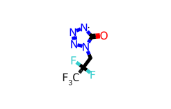 O=C1[N]N=NN1CC(F)(F)C(F)(F)F